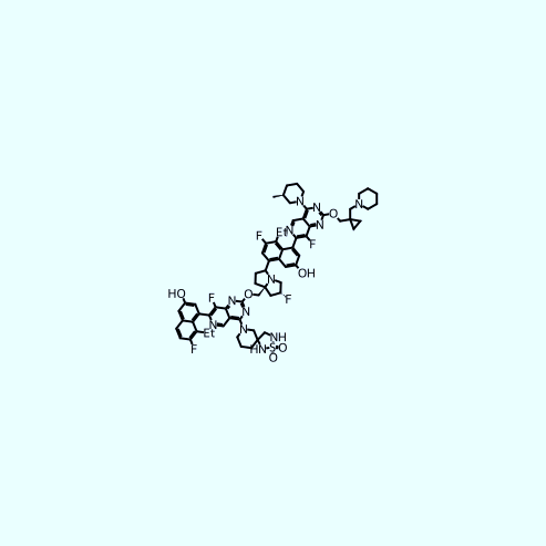 CCc1c(F)ccc2cc(O)cc(-c3ncc4c(N5CCCC6(CNS(=O)(=O)N6)C5)nc(OC[C@@]56CCC(c7cc(F)c(CC)c8c(-c9ncc%10c(N%11CCC[C@H](C)C%11)nc(OCC%11(CN%12CCCCC%12)CC%11)nc%10c9F)cc(O)cc78)N5C[C@H](F)C6)nc4c3F)c12